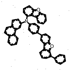 c1ccc(-c2cccc3c2oc2ccc(-c4ccc(N(c5ccc6ccc7ccccc7c6c5)c5cccc6oc7ccccc7c56)cc4)cc23)cc1